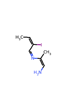 C\C=C(I)/C=N\C(C)=C/N